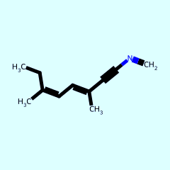 C=NC#C/C(C)=C/C=C(/C)CC